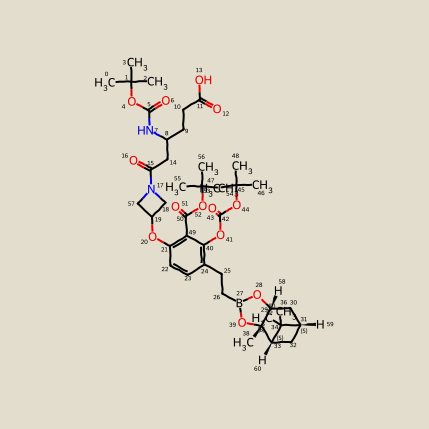 CC(C)(C)OC(=O)NC(CCC(=O)O)CC(=O)N1CC(Oc2ccc(CCB3O[C@@H]4C[C@@H]5C[C@@H](C5(C)C)[C@]4(C)O3)c(OC(=O)OC(C)(C)C)c2C(=O)OC(C)(C)C)C1